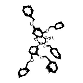 O[C@H]1c2c(OCc3ccccc3)cc(OCc3ccccc3)cc2O[C@H](c2ccc(OCc3ccccc3)c(OCc3ccccc3)c2)[C@H]1OCc1ccccc1